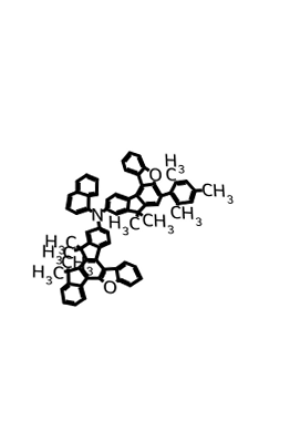 Cc1cc(C)c(-c2cc3c(c4c2oc2ccccc24)-c2ccc(N(c4ccc5c(c4)C(C)(C)c4c6c(c7oc8ccccc8c7c4-5)-c4ccccc4C6(C)C)c4cccc5ccccc45)cc2C3(C)C)c(C)c1